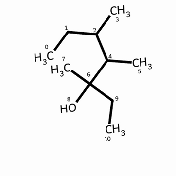 CCC(C)C(C)C(C)(O)CC